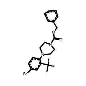 O=C(OCc1ccccc1)N1CCN(c2ccc(Br)cc2C(F)(F)F)CC1